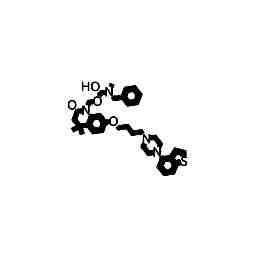 CN(Cc1ccccc1)C(O)OCN1C(=O)CC(C)(C)c2ccc(OCCCCN3CCN(c4cccc5sccc45)CC3)cc21